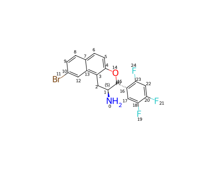 N[C@H]1Cc2c(ccc3ccc(Br)cc23)O[C@@H]1c1cc(F)c(F)cc1F